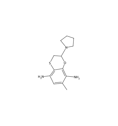 Cc1cc(N)c2c(c1N)OC(N1CCCC1)CS2